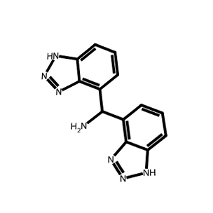 NC(c1cccc2[nH]nnc12)c1cccc2[nH]nnc12